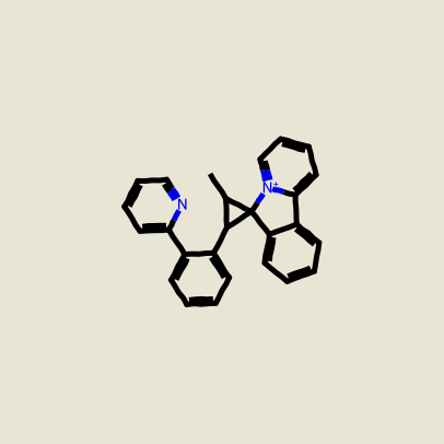 CC1C(c2ccccc2-c2ccccn2)C12c1ccccc1-c1cccc[n+]12